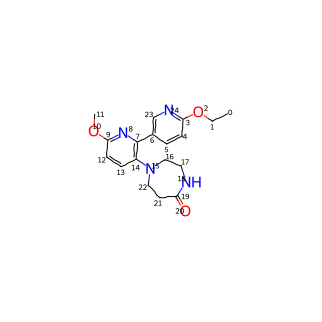 CCOc1ccc(-c2nc(OC)ccc2N2CCNC(=O)CC2)cn1